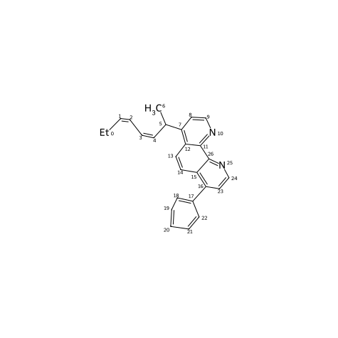 CC/C=C\C=C/C(C)c1ccnc2c1ccc1c(-c3ccccc3)ccnc12